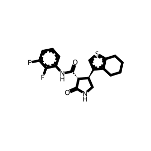 O=C1NC[C@H](c2csc3c2CCCC3)[C@H]1C(=O)Nc1cccc(F)c1F